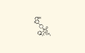 CC1(C)OC(=O)N([C@@H]2CC=C(c3cnc4cc[nH]c4c3)CC2)C1c1ccccc1